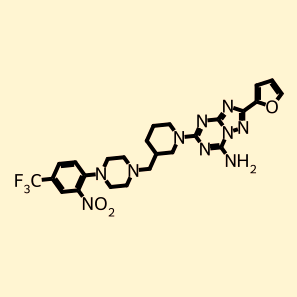 Nc1nc(N2CCCC(CN3CCN(c4ccc(C(F)(F)F)cc4[N+](=O)[O-])CC3)C2)nc2nc(-c3ccco3)nn12